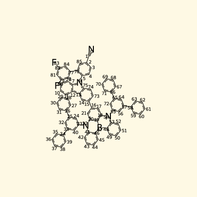 N#Cc1ccc(-n2c3ccccc3c3cc(-c4cc5c6c(c4)N(c4cc(-c7ccccc7)cc(-c7ccccc7)c4)c4ccccc4B6c4ccccc4N5c4cc(-c5ccccc5)cc(-c5ccccc5)c4)ccc32)c(-c2cc(F)cc(F)c2)c1